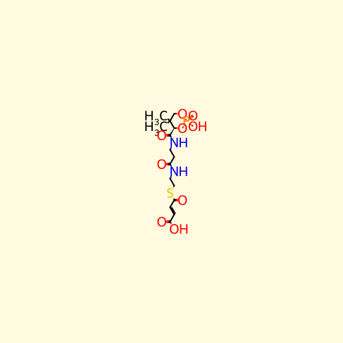 CC1(C)COP(=O)(O)O[C@H]1C(=O)NCCC(=O)NCCSC(=O)/C=C/C(=O)O